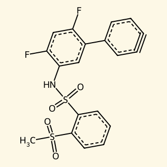 CS(=O)(=O)c1ccccc1S(=O)(=O)Nc1cc(-c2cc#ccc2)c(F)cc1F